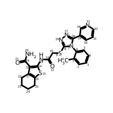 Cc1ccccc1-n1c(SCC(=O)Nc2sc3c(c2C(N)=O)CCCC3)nnc1-c1cccnc1